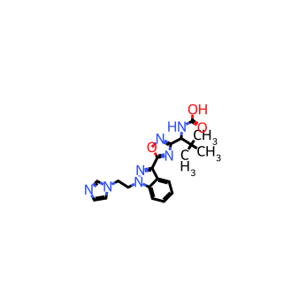 CC(C)(C)C(NC(=O)O)c1noc(-c2nn(CCn3ccnc3)c3ccccc23)n1